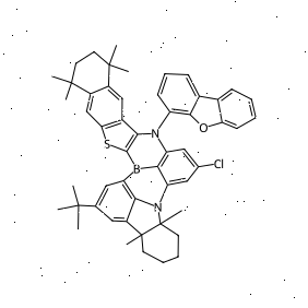 CC(C)(C)c1cc2c3c(c1)C1(C)CCCCC1(C)N3c1cc(Cl)cc3c1B2c1sc2cc4c(cc2c1N3c1cccc2c1oc1ccccc12)C(C)(C)CCC4(C)C